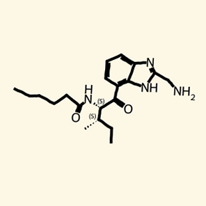 CCCCCC(=O)N[C@H](C(=O)c1cccc2nc(CN)[nH]c12)[C@@H](C)CC